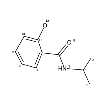 CC(C)NC(=O)c1ccccc1[O]